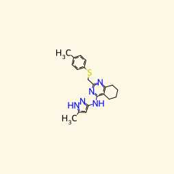 Cc1ccc(SCc2nc3c(c(Nc4cc(C)[nH]n4)n2)CCCC3)cc1